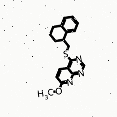 COc1ccc2c(SCC3CCCc4ccccc43)ncnc2n1